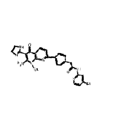 CCc1ccnc(NC(=O)Cc2ccc(-c3ccc4c(=O)c(-c5ncc[nH]5)c(N)n(CC)c4n3)cc2)c1